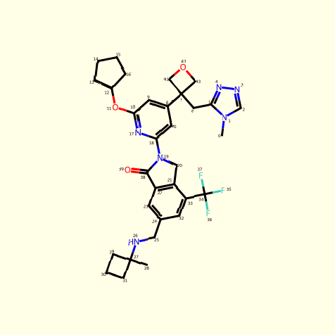 Cn1cnnc1CC1(c2cc(OC3CCCC3)nc(N3Cc4c(cc(CNC5(C)CCC5)cc4C(F)(F)F)C3=O)c2)COC1